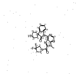 Cn1c(C(=O)N2CCC(F)(F)C2)nc2c(N3C(=O)C4(CCNCC4)c4ccccc43)ncnc21